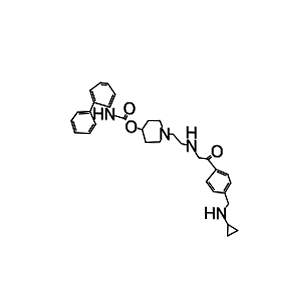 O=C(Nc1ccccc1-c1ccccc1)OC1CCN(CCNCC(=O)c2ccc(CNC3CC3)cc2)CC1